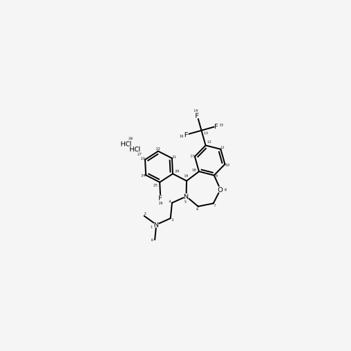 CN(C)CCN1CCOc2ccc(C(F)(F)F)cc2C1c1ccccc1F.Cl.Cl